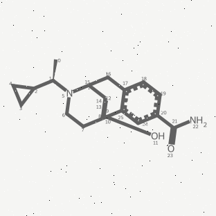 C[C@H](C1CC1)N1CCC23CC(O)CCC2C1Cc1ccc(C(N)=O)cc13